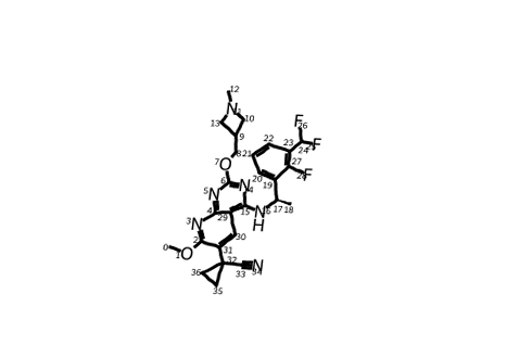 COc1nc2nc(OCC3CN(C)C3)nc(N[C@H](C)c3cccc(C(F)F)c3F)c2cc1C1(C#N)CC1